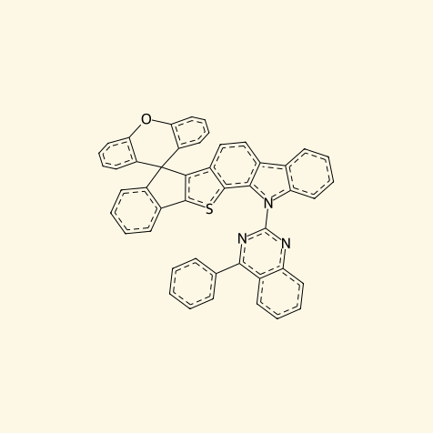 c1ccc(-c2nc(-n3c4ccccc4c4ccc5c6c(sc5c43)-c3ccccc3C63c4ccccc4Oc4ccccc43)nc3ccccc23)cc1